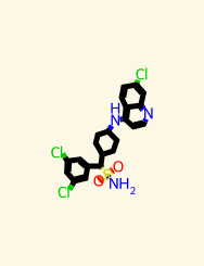 NS(=O)(=O)C(c1cc(Cl)cc(Cl)c1)C1CCC(Nc2ccnc3cc(Cl)ccc23)CC1